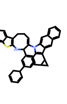 C1=CCC(c2cccc(C3Nc4sc5ccccc5c4CC/C=C\3n3c4c(c5cc6ccccc6cc53)C3CC3C=C4)c2)C=C1